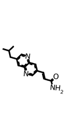 CC(C)Cc1cnc2cc(C=CC(N)=O)cnc2c1